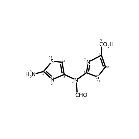 Nc1nc(N(C=O)c2nc(C(=O)O)cs2)cs1